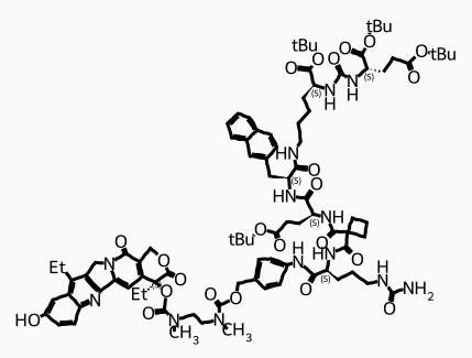 CCc1c2c(nc3ccc(O)cc13)-c1cc3c(c(=O)n1C2)COC(=O)[C@@]3(CC)OC(=O)N(C)CCN(C)C(=O)OCc1ccc(NC(=O)[C@H](CCCNC(N)=O)NC(=O)C2(C(=O)N[C@@H](CCC(=O)OC(C)(C)C)C(=O)N[C@@H](Cc3ccc4ccccc4c3)C(=O)NCCCC[C@H](NC(=O)N[C@@H](CCC(=O)OC(C)(C)C)C(=O)OC(C)(C)C)C(=O)OC(C)(C)C)CCC2)cc1